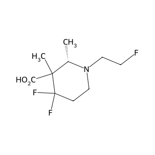 C[C@@H]1N(CCF)CCC(F)(F)C1(C)C(=O)O